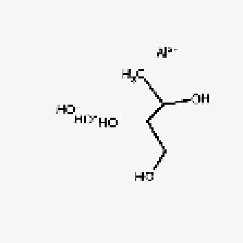 CC(O)CCO.[Al+3].[OH-].[OH-].[OH-]